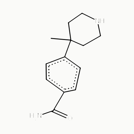 CC1(c2ccc(C(N)=O)cc2)CCNCC1